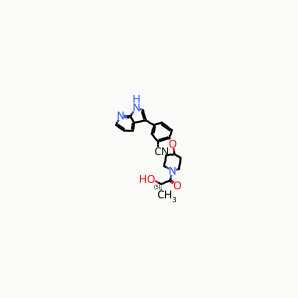 C[C@H](O)C(=O)N1CCC(Oc2ccc(-c3c[nH]c4ncccc34)cc2C#N)CC1